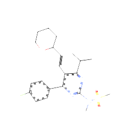 CC(C)c1nc(N(C)S(C)(=O)=O)nc(-c2ccc(F)cc2)c1/C=C/C1C[C@@H](O)CCO1